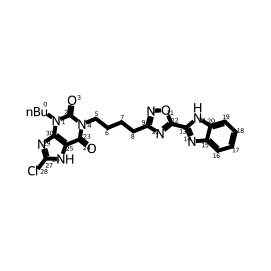 CCCCn1c(=O)n(CCCCc2noc(-c3nc4ccccc4[nH]3)n2)c(=O)c2[nH]c(Cl)nc21